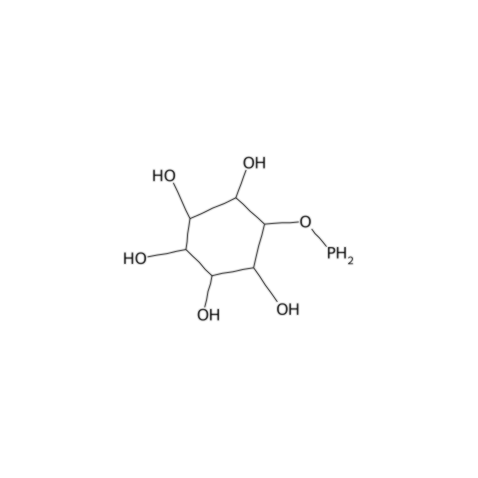 OC1C(O)C(O)C(OP)C(O)C1O